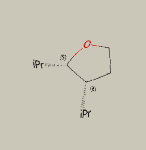 CC(C)[C@H]1CCO[C@H]1C(C)C